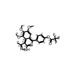 COc1cc2c(-c3ccc(OC(=O)C(F)(F)F)cc3)nc3[nH]nc(C)c3c2c(OC)c1OC